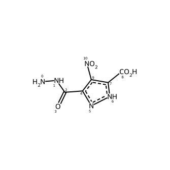 NNC(=O)c1n[nH]c(C(=O)O)c1[N+](=O)[O-]